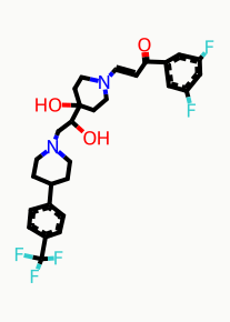 O=C(C=CN1CCC(O)(C(O)CN2CCC(c3ccc(C(F)(F)F)cc3)CC2)CC1)c1cc(F)cc(F)c1